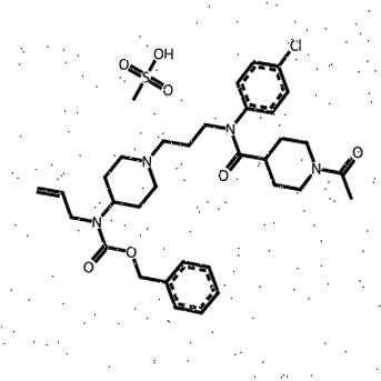 C=CCN(C(=O)OCc1ccccc1)C1CCN(CCCN(C(=O)C2CCN(C(C)=O)CC2)c2ccc(Cl)cc2)CC1.CS(=O)(=O)O